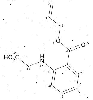 C=CCOC(=O)c1ccccc1NCC(=O)O